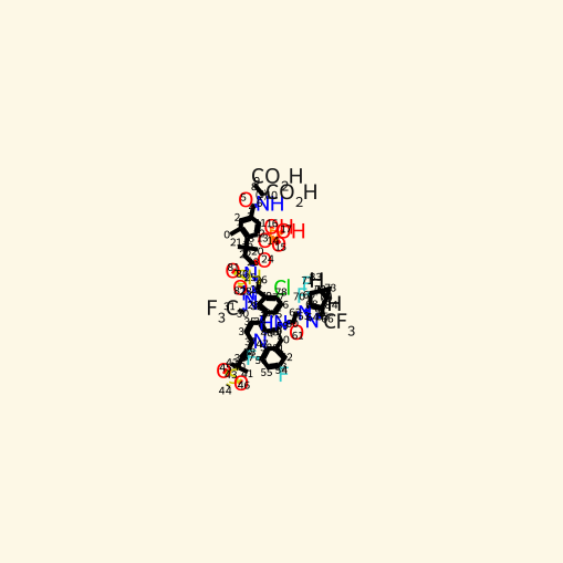 Cc1cc(C(=O)N[C@@H](CC(=O)O)C(=O)O)cc(OP(=O)(O)O)c1C(C)(C)CC(=O)N(Cc1nn(CC(F)(F)F)c2c(-c3ccc(C#CC(C)(C)S(C)(=O)=O)nc3[C@H](Cc3cc(F)cc(F)c3)NC(=O)Cn3nc(C(F)(F)F)c4c3C(F)(F)[C@@H]3C[C@H]43)ccc(Cl)c12)[SH](=O)=O